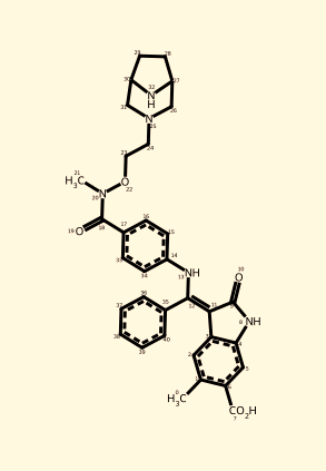 Cc1cc2c(cc1C(=O)O)NC(=O)/C2=C(\Nc1ccc(C(=O)N(C)OCCN2CC3CCC(C2)N3)cc1)c1ccccc1